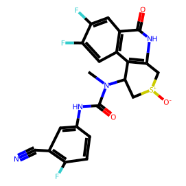 CN(C(=O)Nc1ccc(F)c(C#N)c1)C1C[S+]([O-])Cc2[nH]c(=O)c3cc(F)c(F)cc3c21